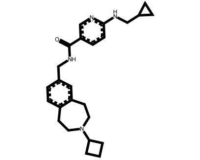 O=C(NCc1ccc2c(c1)CCN(C1CCC1)CC2)c1ccc(NCC2CC2)nc1